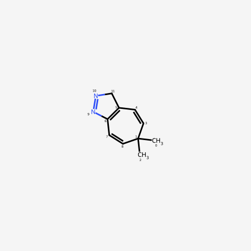 CC1(C)C=CC2=C(C=C1)N=NC2